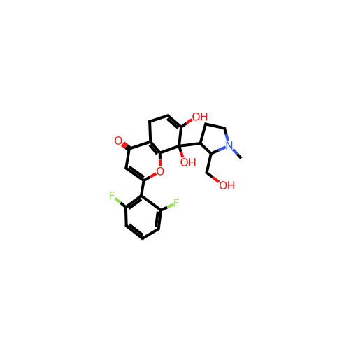 CN1CCC(C2(O)C(O)=CCc3c2oc(-c2c(F)cccc2F)cc3=O)C1CO